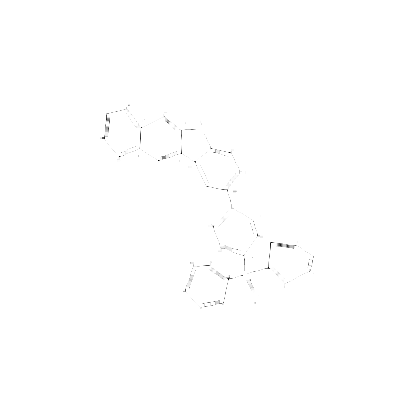 O=P(c1ccccc1)(c1ccccc1)c1ccc(-c2ccc3oc4cc5ccccc5cc4c3c2)cc1